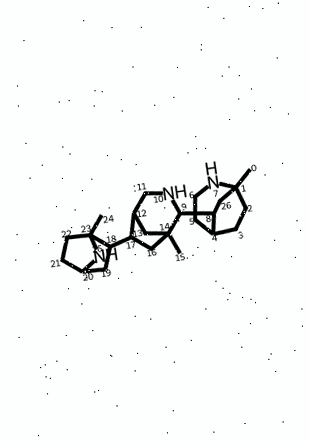 CC12CCC(CCN1)C(C1NCC3CC1(C)CC3C1CC3CCC1(C)N3)C2